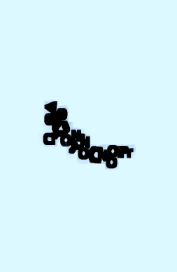 Cc1c(Oc2ccc(S(=O)(=O)C3CC3)cc2Cl)ncnc1OC1CCN(C(=O)OC(C)C)CC1